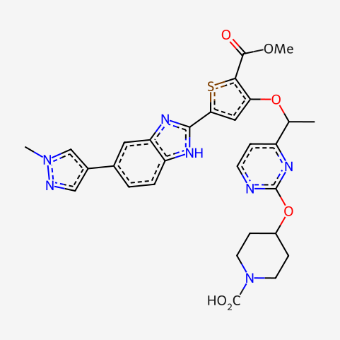 COC(=O)c1sc(-c2nc3cc(-c4cnn(C)c4)ccc3[nH]2)cc1OC(C)c1ccnc(OC2CCN(C(=O)O)CC2)n1